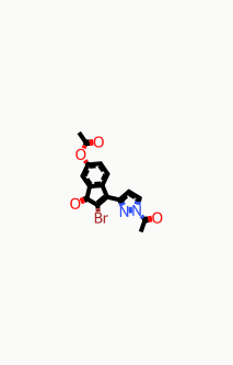 CC(=O)Oc1ccc2c(c1)C(=O)C(Br)=C2c1ccn(C(C)=O)n1